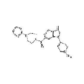 CN1CC=C(c2c[nH]c3ccc(C(=O)N4CCN(c5ccccn5)CC4)cc23)CC1